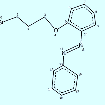 BrCCCOc1ccccc1N=Nc1ccccc1